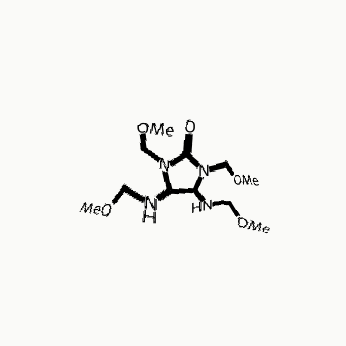 COCNC1C(NCOC)N(COC)C(=O)N1COC